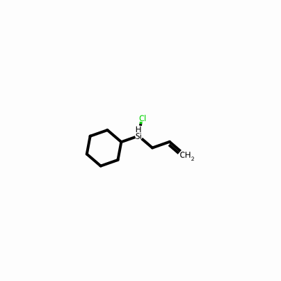 C=CC[SiH](Cl)C1CCCCC1